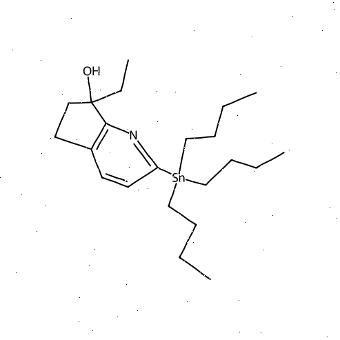 CCC[CH2][Sn]([CH2]CCC)([CH2]CCC)[c]1ccc2c(n1)C(O)(CC)CC2